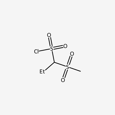 CCC(S(C)(=O)=O)S(=O)(=O)Cl